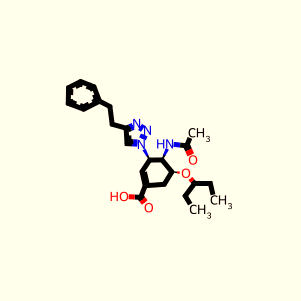 CCC(CC)O[C@@H]1CC(C(=O)O)=C[C@@H](n2cc(CCc3ccccc3)nn2)[C@H]1NC(C)=O